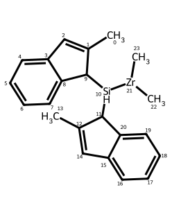 CC1=Cc2ccccc2C1[SiH](C1C(C)=Cc2ccccc21)[Zr]([CH3])[CH3]